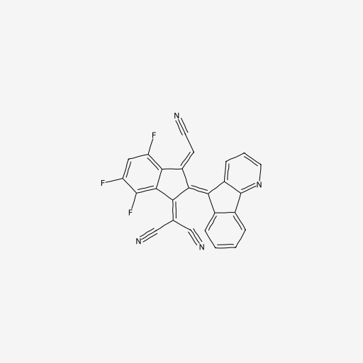 N#C/C=C1/C(=C2/c3ccccc3-c3ncccc32)C(=C(C#N)C#N)c2c(F)c(F)cc(F)c21